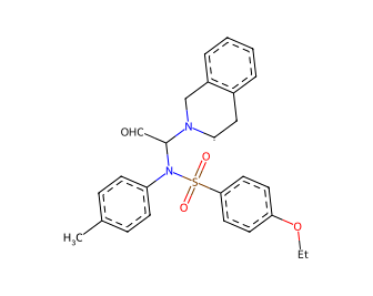 CCOc1ccc(S(=O)(=O)N(c2ccc(C)cc2)C(C=O)N2[CH]Cc3ccccc3C2)cc1